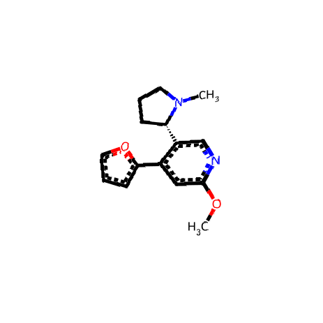 COc1cc(-c2ccco2)c([C@@H]2CCCN2C)cn1